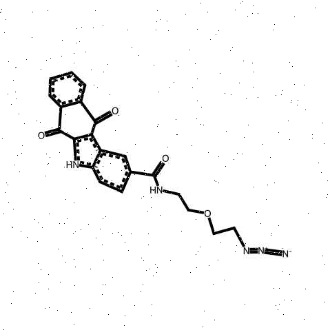 [N-]=[N+]=NCCOCCNC(=O)c1ccc2[nH]c3c(c2c1)C(=O)c1ccccc1C3=O